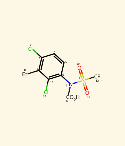 CCc1c(Cl)ccc(N(C(=O)O)S(=O)(=O)C(F)(F)F)c1Cl